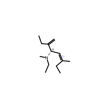 C=C(CC)[C@H](/C=C(/C)CC)N(C)CC